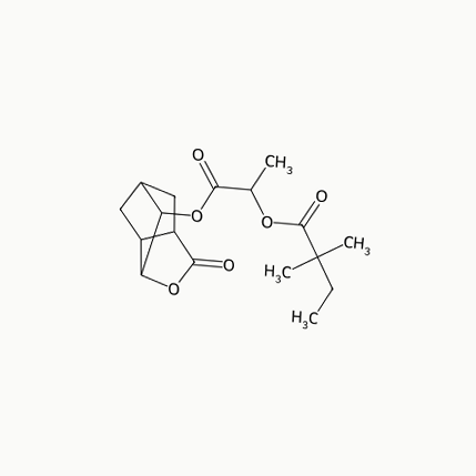 CCC(C)(C)C(=O)OC(C)C(=O)OC1C2CC3C(=O)OC1C3C2